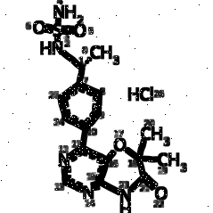 C[C@@H](NS(N)(=O)=O)c1ccc(-c2ncnc3c2OC(C)(C)C(=O)N3)cc1.Cl